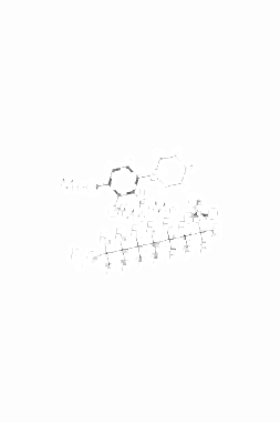 COc1ccc([S+]2CCCCC2)c(OC)c1OC.O=S(=O)([O-])C(F)(F)C(F)(F)C(F)(F)C(F)(F)C(F)(F)C(F)(F)C(F)(F)C(F)(F)F